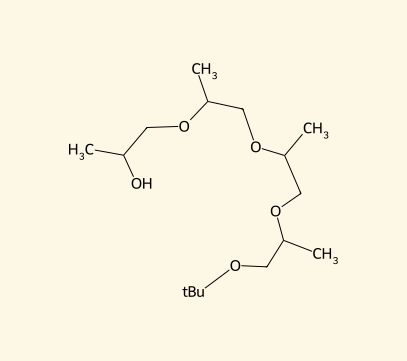 CC(O)COC(C)COC(C)COC(C)COC(C)(C)C